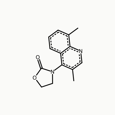 Cc1cnc2c(C)cccc2c1N1CCOC1=O